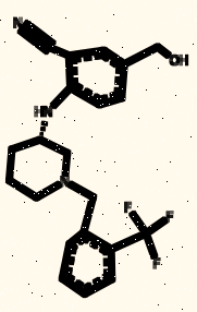 N#Cc1cc(CO)ccc1N[C@H]1CCCN(Cc2ccccc2C(F)(F)F)C1